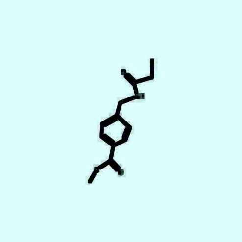 CCC(=O)NCc1ccc(C(=O)OC)cc1